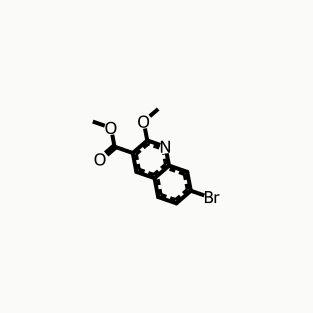 COC(=O)c1cc2ccc(Br)cc2nc1OC